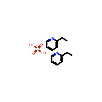 CCc1ccccn1.CCc1ccccn1.O=S(=O)(O)O